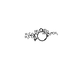 CCOC(=O)[C@@]12CC1/C=C\CCCN(C1CC1)C[C@H](NC(=O)OC(C)(C)C)C(=O)N1CCC[C@H]1C(=O)N2